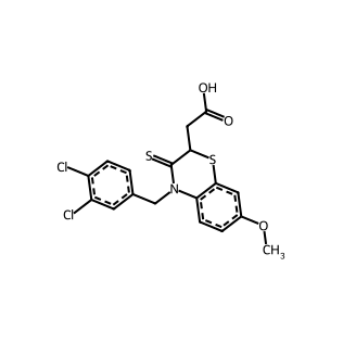 COc1ccc2c(c1)SC(CC(=O)O)C(=S)N2Cc1ccc(Cl)c(Cl)c1